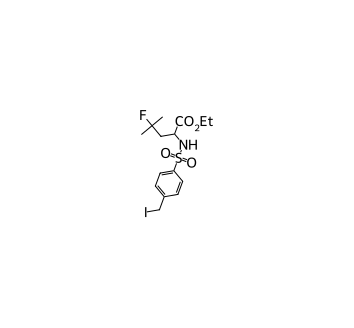 CCOC(=O)C(CC(C)(C)F)NS(=O)(=O)c1ccc(CI)cc1